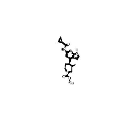 CC(C)(C)OC(=O)N1CCC(c2cc(NC(=O)C3CC3)nc3[nH]ccc23)C(F)C1